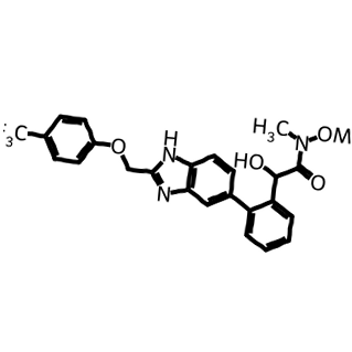 CON(C)C(=O)C(O)c1ccccc1-c1ccc2[nH]c(COc3ccc(C(F)(F)F)cc3)nc2c1